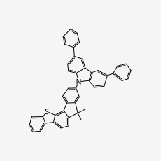 CC1(C)c2cc(-n3c4ccc(-c5ccccc5)cc4c4cc(-c5ccccc5)ccc43)ccc2-c2c1ccc1c2sc2ccccc21